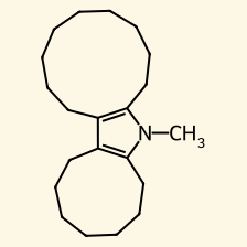 Cn1c2c(c3c1CCCCCCC3)CCCCCCCCC2